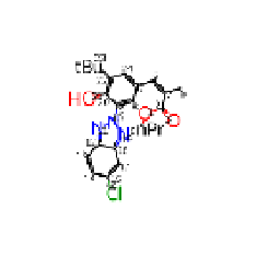 CCCOC(=O)C(C)=Cc1cc(-n2nc3ccc(Cl)cc3n2)c(O)c(C(C)(C)C)c1